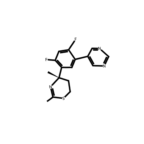 CC1=N[C@](C)(c2cc(-c3cncnc3)c(F)cc2F)CCS1